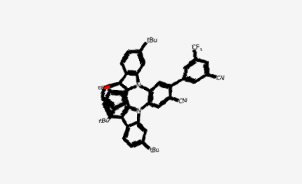 CC(C)(C)c1ccc2c3ccc(C(C)(C)C)cc3n(-c3cc(C#N)c(-c4cc(C#N)cc(C(F)(F)F)c4)cc3-n3c4cc(C(C)(C)C)ccc4c4ccc(C(C)(C)C)cc43)c2c1